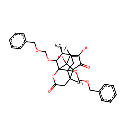 CC1=C(O)C(=O)C2C1(O)C13OC(=O)CC2(C)[C@@]1(OCOCc1ccccc1)CCC(C)C3OCOCc1ccccc1